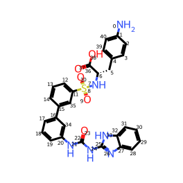 Nc1ccc(C[C@H](NS(=O)(=O)c2cccc(-c3cccc(NC(=O)Nc4nc5ccccc5[nH]4)c3)c2)C(=O)O)cc1